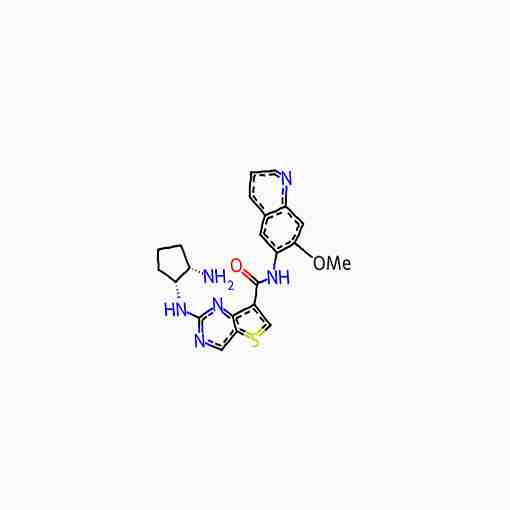 COc1cc2ncccc2cc1NC(=O)c1csc2cnc(N[C@@H]3CCC[C@@H]3N)nc12